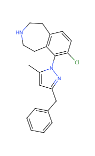 Cc1cc(Cc2ccccc2)nn1-c1c(Cl)ccc2c1CCNCC2